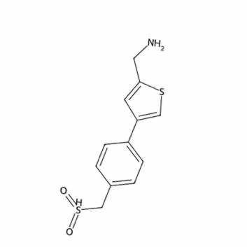 NCc1cc(-c2ccc(C[SH](=O)=O)cc2)cs1